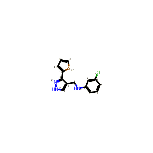 Clc1cccc(NCc2c[nH]nc2-c2cccs2)c1